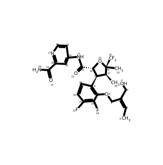 C/C=C(/CO)COc1c([C@H]2[C@H](C(=O)Nc3ccnc(C(N)=O)c3)O[C@@](C)(C(F)(F)F)[C@H]2C)ccc(F)c1F